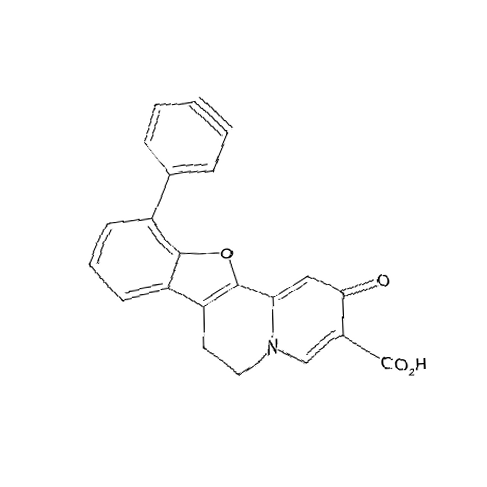 O=C(O)c1cn2c(cc1=O)-c1oc3c(-c4cc#ccc4)cccc3c1CC2